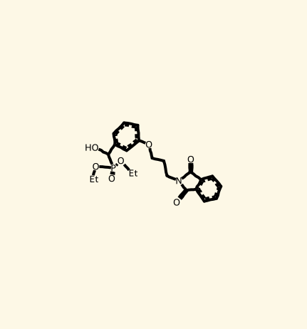 CCOP(=O)(OCC)C(O)c1cccc(OCCCN2C(=O)c3ccccc3C2=O)c1